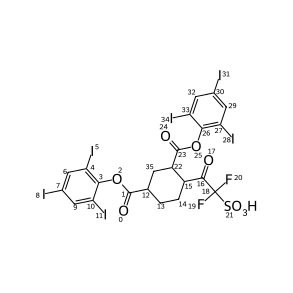 O=C(Oc1c(I)cc(I)cc1I)C1CCC(C(=O)C(F)(F)S(=O)(=O)O)C(C(=O)Oc2c(I)cc(I)cc2I)C1